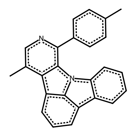 Cc1ccc(-c2ncc(C)c3c4cccc5c6ccccc6n(c23)c54)cc1